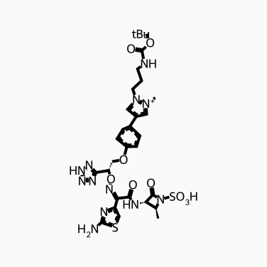 C[C@H]1[C@H](NC(=O)/C(=N\O[C@@H](COc2ccc(-c3cn(CCCNC(=O)OC(C)(C)C)[n+](C)c3)cc2)c2nn[nH]n2)c2csc(N)n2)C(=O)N1S(=O)(=O)O